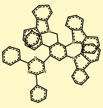 c1ccc(-c2nc(-c3ccccc3)nc(-c3cc(-n4c5ccccc5c5ccccc54)c(-n4c5ccccc5c5ccccc54)c(Cn4c5ccccc5c5ccccc54)c3-c3ccccc3)n2)cc1